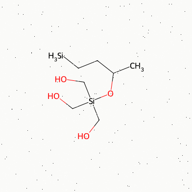 CC(CC[SiH3])O[Si](CO)(CO)CO